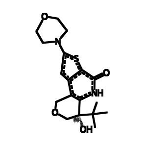 CC(C)(C)[C@@]1(O)COCc2c1[nH]c(=O)c1sc(N3CCOCC3)cc21